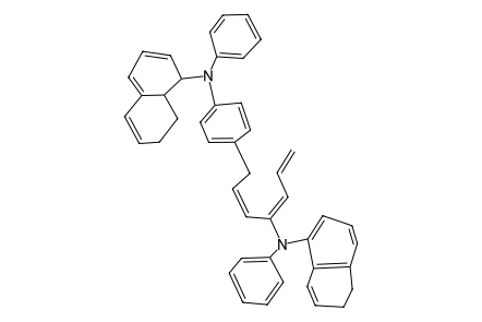 C=C/C=C(\C=C/Cc1ccc(N(c2ccccc2)C2C=CC=C3C=CCCC32)cc1)N(c1ccccc1)c1cccc2c1C=CCC2